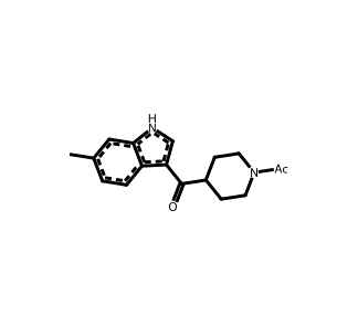 CC(=O)N1CCC(C(=O)c2c[nH]c3cc(C)ccc23)CC1